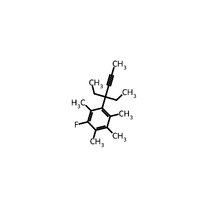 CC#CC(CC)(CC)c1c(C)c(C)c(C)c(F)c1C